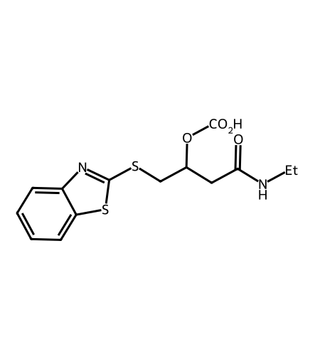 CCNC(=O)CC(CSc1nc2ccccc2s1)OC(=O)O